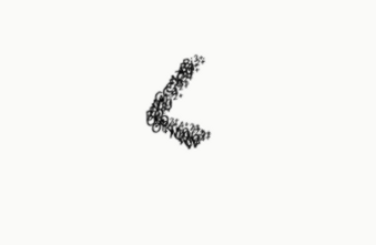 O=S(=O)([O-])[O-].[Ag+].[Al+3].[Ba+2].[Be+2].[Bi+3].[Ca+2].[Cd+2].[Cl-].[Co+2].[Cr+3].[Cu+2].[F-].[Fe+2].[K+].[Mg+2].[Mn+2].[Mo+4].[Na+].[Ni+2].[P+3].[Ti+4].[W+4].[Zn+2]